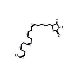 CC/C=C\C/C=C\C/C=C\C/C=C\C/C=C\CCCCC1SC(=O)NC1=O